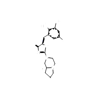 Cc1cc(F)cc(/C=C2\SC(N3CCN4CCC[C@H]4C3)=NC2=O)c1O